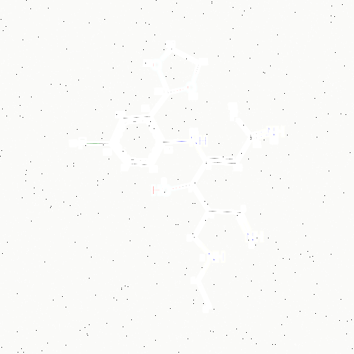 CCNCC(C=N)C(O)/C(=C/C(=N)F)Nc1ccc(F)cc1C1OCCO1